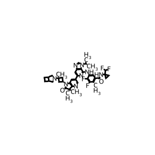 Cc1c(C(=O)NC2(C(F)F)CC2)cc(Nc2nc(-c3cnc4c(c3)N([C@H]3C[C@@](C)(N5CC6CCC6C5)C3)C(=O)C4(C)C)cc3ncn(C(C)C)c23)c(F)c1F